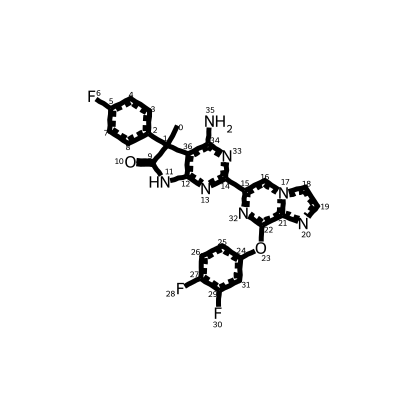 CC1(c2ccc(F)cc2)C(=O)Nc2nc(-c3cn4ccnc4c(Oc4ccc(F)c(F)c4)n3)nc(N)c21